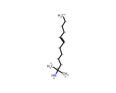 CCCCC=CCCCCC(C)(C)[NH]